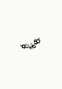 O=C1CCc2cc(N3CC[C@](O)(OC(=O)NCc4ccc(F)cc4Cl)C3=O)ccc2N1